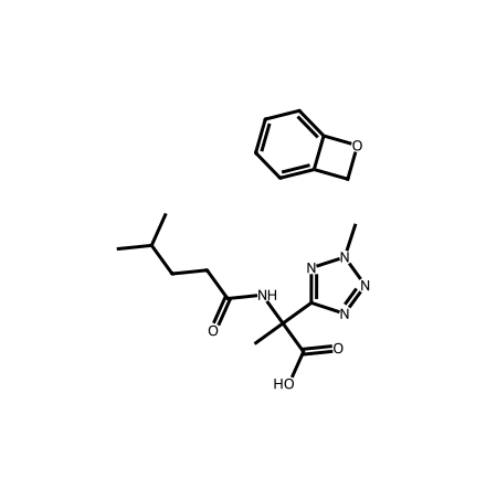 CC(C)CCC(=O)NC(C)(C(=O)O)c1nnn(C)n1.c1ccc2c(c1)CO2